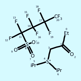 CCC(=O)C[S+](C(C)C)C(C)C.O=S(=O)([O-])C(F)(F)C(F)(F)C(F)(F)C(F)(F)F